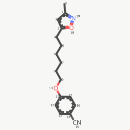 Cc1cc(CCCCCCOc2ccc(C#N)cc2)on1